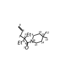 C=CCC(CC)(CC)C(=O)N1CCC(C)(C)CC1